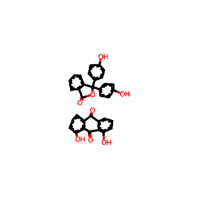 O=C1OC(c2ccc(O)cc2)(c2ccc(O)cc2)c2ccccc21.O=C1c2cccc(O)c2C(=O)c2c(O)cccc21